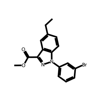 CCc1ccc2c(c1)c(C(=O)OC)nn2-c1cccc(Br)c1